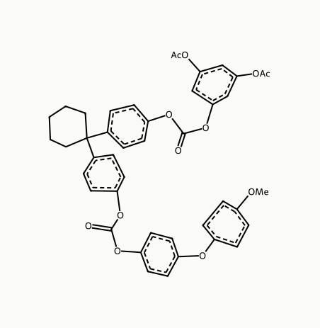 COc1ccc(Oc2ccc(OC(=O)Oc3ccc(C4(c5ccc(OC(=O)Oc6cc(OC(C)=O)cc(OC(C)=O)c6)cc5)CCCCC4)cc3)cc2)cc1